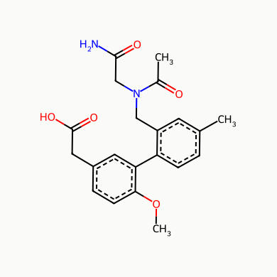 COc1ccc(CC(=O)O)cc1-c1ccc(C)cc1CN(CC(N)=O)C(C)=O